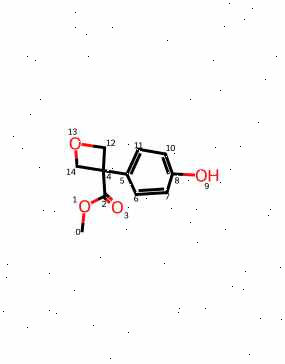 COC(=O)C1(c2ccc(O)cc2)COC1